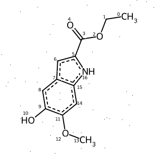 CCOC(=O)c1cc2cc(O)c(OC)cc2[nH]1